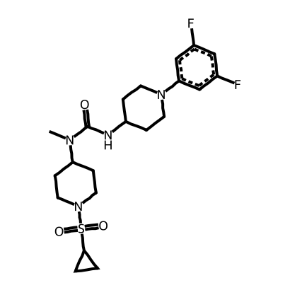 CN(C(=O)NC1CCN(c2cc(F)cc(F)c2)CC1)C1CCN(S(=O)(=O)C2CC2)CC1